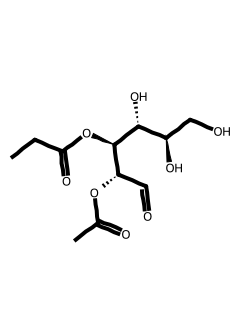 CCC(=O)O[C@@H]([C@H](O)[C@H](O)CO)[C@H](C=O)OC(C)=O